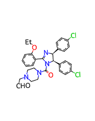 CCOc1ccccc1C1=N[C@@H](c2ccc(Cl)cc2)[C@@H](c2ccc(Cl)cc2)N1C(=O)N1CCN(CC=O)CC1